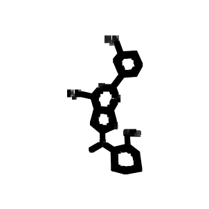 COc1ccccc1N(C)c1cc2c(N)nc(-c3cccc(N)c3)nc2s1